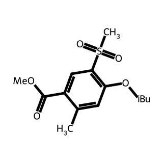 CCC(C)Oc1cc(C)c(C(=O)OC)cc1S(C)(=O)=O